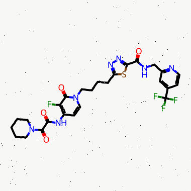 O=C(Nc1ccn(CCCCc2nnc(C(=O)NCc3cc(C(F)(F)F)ccn3)s2)c(=O)c1F)C(=O)N1CCCCC1